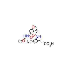 CCOCCNC(=O)c1ccc2c(c1)C1(CCO2)CC1C(=O)Nc1cc(C#N)ccc1CCCC(=O)O